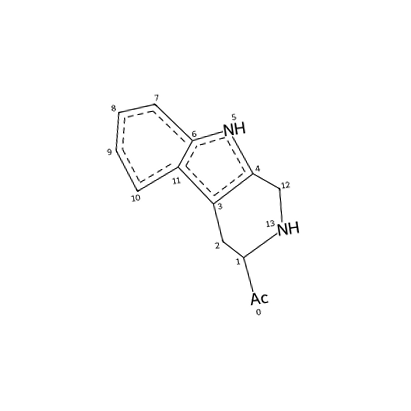 CC(=O)C1Cc2c([nH]c3ccccc23)CN1